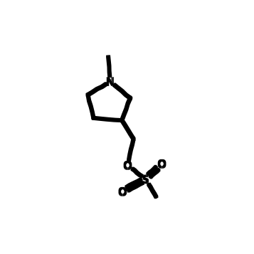 CN1CCC(COS(C)(=O)=O)C1